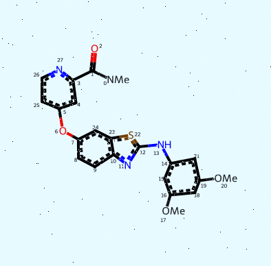 CNC(=O)c1cc(Oc2ccc3nc(Nc4cc(OC)cc(OC)c4)sc3c2)ccn1